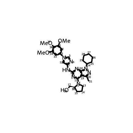 COc1cc(-n2cnc(Nc3nc(N4CCC[C@H]4CO)c4c(C)nn(C5CCCCC5)c4n3)c2)cc(OC)c1OC